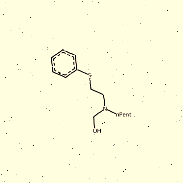 CCCCCN(CO)CCSc1ccccc1